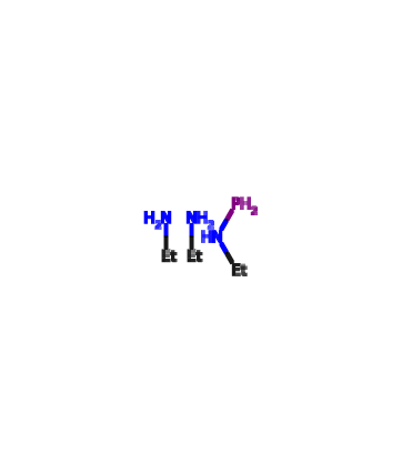 CCN.CCN.CCNP